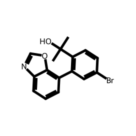 CC(C)(O)c1ccc(Br)cc1-c1cccc2ncoc12